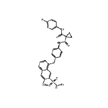 CCNS(=O)(=O)c1cc2c(Oc3ccc(NC(=O)C4(C(=O)Nc5ccc(F)cc5)CC4)cc3)ccnc2cc1OC